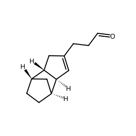 O=CCCC1=C[C@H]2[C@H]3CC[C@@H](C3)[C@@H]2C1